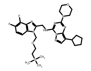 CS(C)(C)CCOCn1c(CNc2nc(N3CCOCC3)nc3c(C4CCCC4)cnn23)nc2c(F)c(F)ccc21